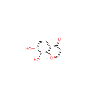 O=c1ccoc2c(O)c(O)ccc12